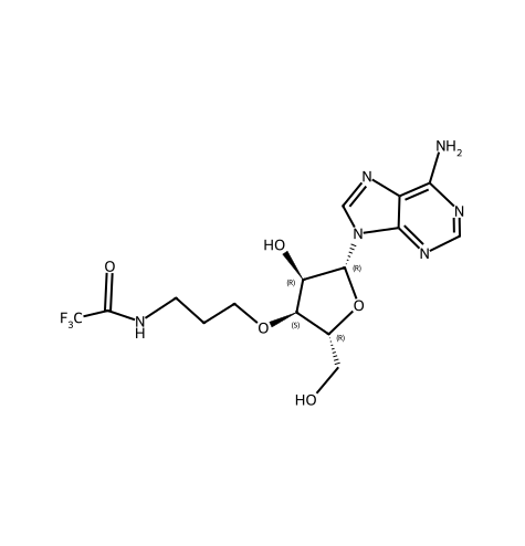 Nc1ncnc2c1ncn2[C@@H]1O[C@H](CO)[C@@H](OCCCNC(=O)C(F)(F)F)[C@H]1O